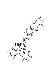 c1ccc(Oc2cccc(CSC3=NC(c4ccccc4)C(c4ccccc4)N3)c2)cc1